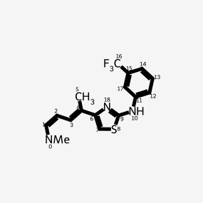 CN/C=C\C=C(/C)c1csc(Nc2cccc(C(F)(F)F)c2)n1